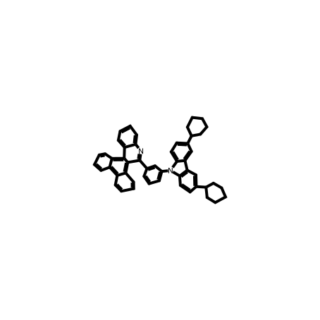 c1cc(-c2nc3ccccc3c3c4ccccc4c4ccccc4c23)cc(-n2c3ccc(C4CCCCC4)cc3c3cc(C4CCCCC4)ccc32)c1